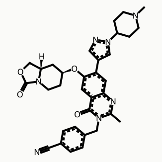 Cc1nc2cc(-c3cnn(C4CCN(C)CC4)c3)c(O[C@H]3CCN4C(=O)OC[C@@H]4C3)cc2c(=O)n1Cc1ccc(C#N)cc1